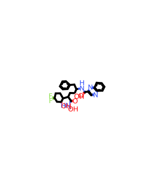 O=C(NC(Cc1ccccc1)C(O)CC(C(=O)NO)C1CCC(F)(F)CC1O)c1cnc2ccccc2n1